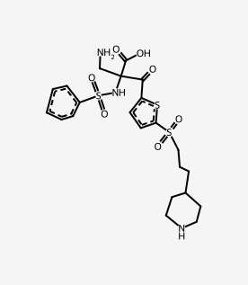 NCC(NS(=O)(=O)c1ccccc1)(C(=O)O)C(=O)c1ccc(S(=O)(=O)CCCC2CCNCC2)s1